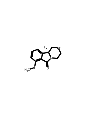 CSc1cccc2c1C(=O)N1CCNC[C@H]21